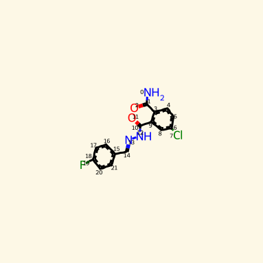 NC(=O)c1ccc(Cl)cc1C(=O)NN=Cc1ccc(F)cc1